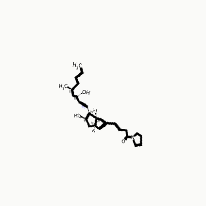 CCCC[C@H](C)C[C@H](O)/C=C/[C@@H]1[C@H]2CC(CCCC(=O)N3CCCC3)=C[C@H]2C[C@H]1O